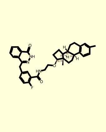 Cc1ccc2c(c1)CC[C@@H]1[C@@H]2CC[C@]2(C)[C@@H](OCCNC(=O)c3cc(Cc4n[nH]c(=O)c5ccccc45)ccc3F)CC[C@@H]12